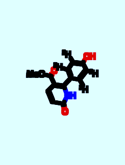 [2H]c1c([2H])c(-c2[nH]c(=O)ccc2C(=O)OC)c([2H])c([2H])c1O